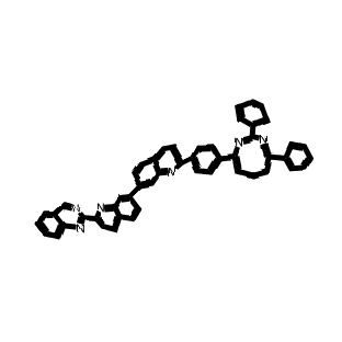 C1=C(c2ccc(-c3ccc4ccc(-c5ccc6ccc(-c7ncc8ccccc8n7)nc6c5)cc4n3)cc2)/N=C(c2ccccc2)\N=C(\c2ccccc2)CC\1